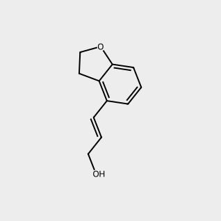 OCC=Cc1cccc2c1CCO2